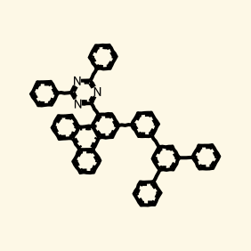 c1ccc(-c2cc(-c3ccccc3)cc(-c3cccc(-c4cc(-c5nc(-c6ccccc6)nc(-c6ccccc6)n5)c5c6ccccc6c6ccccc6c5c4)c3)c2)cc1